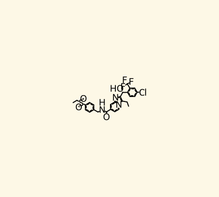 CCc1c(C(O)c2ccc(Cl)cc2C(F)(F)F)nc2cc(C(=O)NCc3ccc(S(=O)(=O)CC)cc3)ccn12